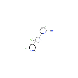 N#Cc1nc(C2=NCC(c3cc(Cl)nc(Cl)c3)(C(F)(F)F)C2)ccc1Cl